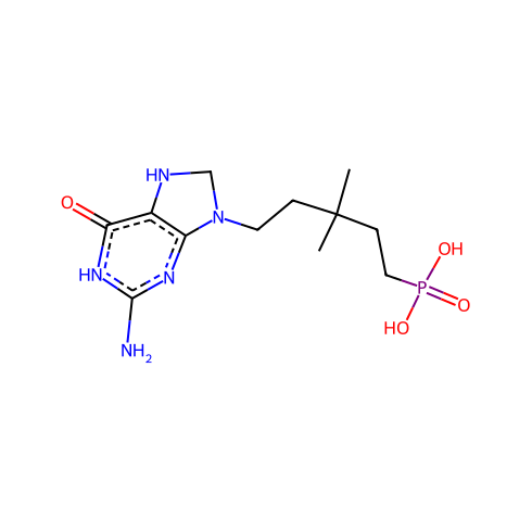 CC(C)(CCN1CNc2c1nc(N)[nH]c2=O)CCP(=O)(O)O